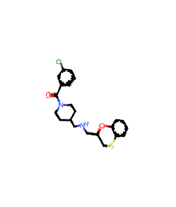 O=C(c1cccc(Cl)c1)N1CCC(CNCC2CSc3ccccc3O2)CC1